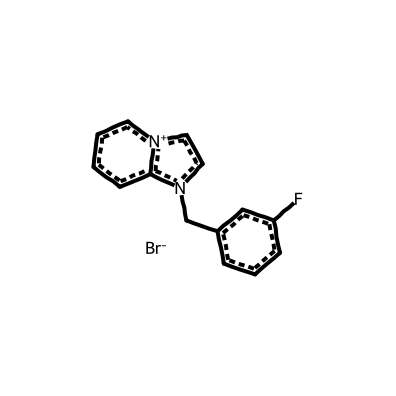 Fc1cccc(Cn2cc[n+]3ccccc23)c1.[Br-]